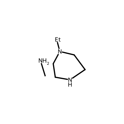 CCN1CCNCC1.CN